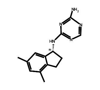 Cc1cc(C)c2c(c1)[C@H](Nc1ncnc(N)n1)CC2